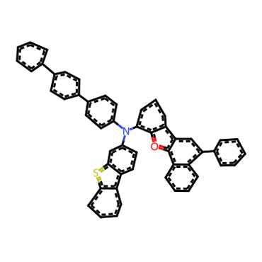 c1ccc(-c2ccc(-c3ccc(N(c4ccc5c(c4)sc4ccccc45)c4cccc5c4oc4c6ccccc6c(-c6ccccc6)cc54)cc3)cc2)cc1